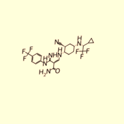 N#C[C@H]1C[C@H](N[C@H](C2CC2)C(F)(F)F)CC[C@@H]1N/C=C(\C(=N)Nc1ccc(C(F)(F)F)cc1)C(N)=O